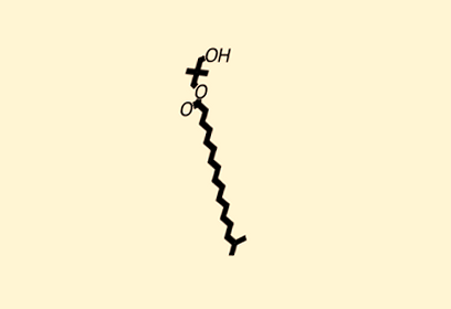 CC(C)CCCCCCCCCCCCCCC(=O)OCC(C)(C)CO